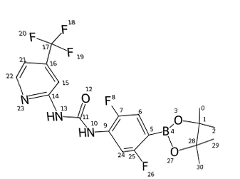 CC1(C)OB(c2cc(F)c(NC(=O)Nc3cc(C(F)(F)F)ccn3)cc2F)OC1(C)C